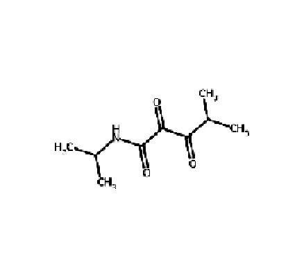 CC(C)NC(=O)C(=O)C(=O)C(C)C